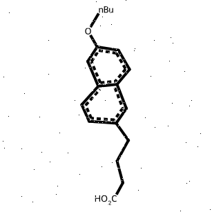 CCCCOc1ccc2cc(CCCC(=O)O)ccc2c1